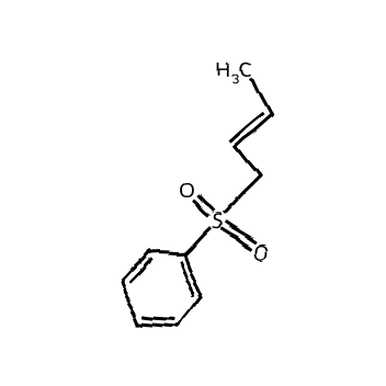 CC=CCS(=O)(=O)c1ccccc1